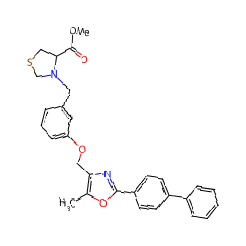 COC(=O)C1CSCN1Cc1cccc(OCc2nc(-c3ccc(-c4ccccc4)cc3)oc2C)c1